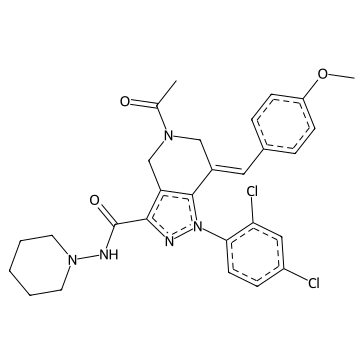 COc1ccc(C=C2CN(C(C)=O)Cc3c(C(=O)NN4CCCCC4)nn(-c4ccc(Cl)cc4Cl)c32)cc1